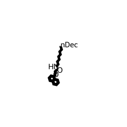 CCCCCCCCCCCCCCCCCCNC(=O)COc1cccc2ccccc12